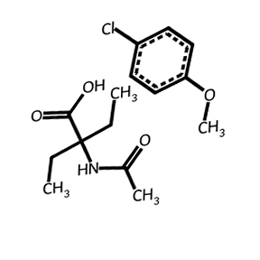 CCC(CC)(NC(C)=O)C(=O)O.COc1ccc(Cl)cc1